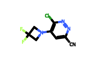 N#Cc1cc(N2CC(F)(F)C2)c(Cl)nn1